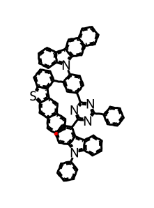 c1ccc(-c2nc(-c3ccc(-n4c5ccccc5c5cc6ccccc6cc54)c(-c4cccc5sc6cc7ccccc7cc6c45)c3)nc(-c3cccc4c3c3ccccc3n4-c3ccccc3)n2)cc1